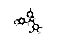 COc1cc(-c2nc3cc(C)ccn3c2Nc2ccc3c(c2)OCO3)cc(F)c1O